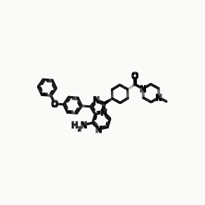 CN1CCN(C(=O)[C@H]2CC[C@H](c3nc(-c4ccc(Oc5ccccc5)cc4)c4c(N)nccn43)CC2)CC1